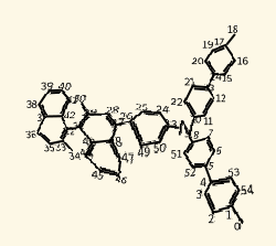 Cc1ccc(-c2ccc(N(c3ccc(-c4ccc(C)cc4)cc3)c3ccc(-c4cc(C)c(-c5c(C)ccc6ccccc56)c5ccccc45)cc3)cc2)cc1